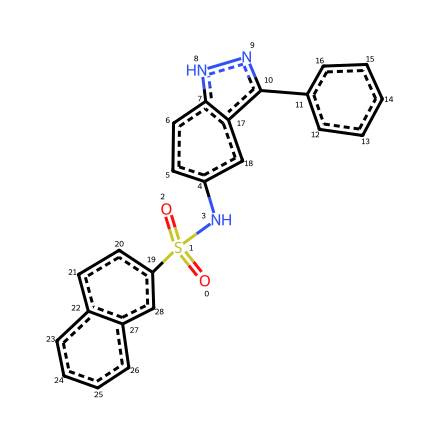 O=S(=O)(Nc1ccc2[nH]nc(-c3ccccc3)c2c1)c1ccc2ccccc2c1